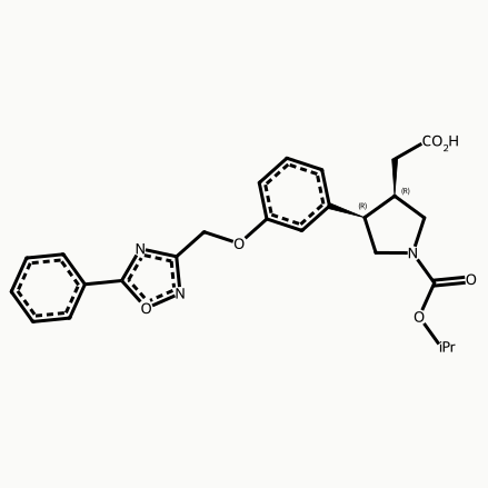 CC(C)OC(=O)N1C[C@H](CC(=O)O)[C@H](c2cccc(OCc3noc(-c4ccccc4)n3)c2)C1